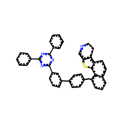 c1ccc(-c2nc(-c3ccccc3)nc(-c3cccc(-c4ccc(-c5cccc6ccc7c8ccncc8sc7c56)cc4)c3)n2)cc1